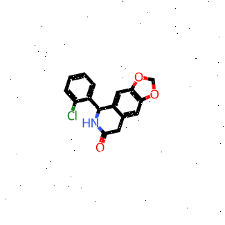 O=C1Cc2cc3c(cc2C(c2ccccc2Cl)N1)OCO3